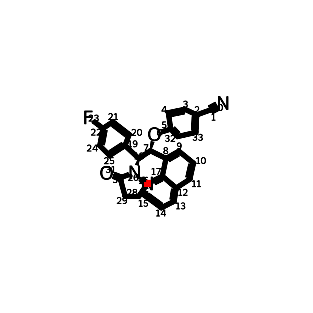 N#Cc1ccc(O[C@@H](c2cccc3cccnc23)[C@H](c2ccc(F)cc2)N2CCCC2=O)cc1